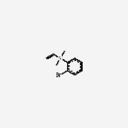 C=C[Si](C)(C)c1ccccc1Br